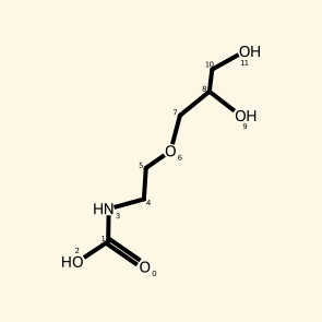 O=C(O)NCCOCC(O)CO